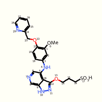 COc1cc(Nc2cncc3[nH]nc(OCCCS(=O)(=O)O)c23)ccc1OCc1ccccn1